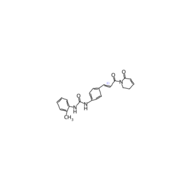 Cc1ccccc1NC(=O)Nc1ccc(/C=C/C(=O)N2CCC=CC2=O)cc1